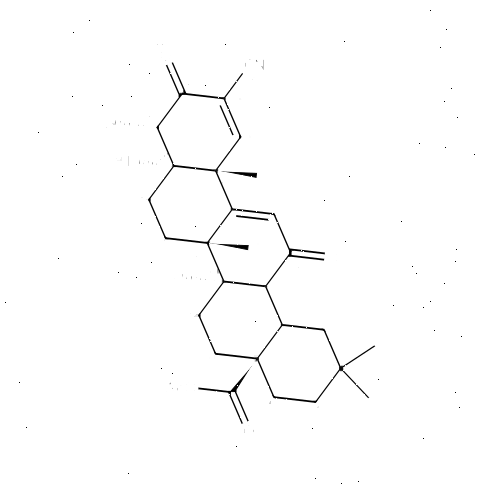 CC(=O)OC(=O)[C@]12CCC(C)(C)CC1C1C(=O)C=C3[C@@]4(C)C=C(C#N)C(=O)[C@@H](C)[C@@H]4CC[C@@]3(C)[C@]1(C)CC2